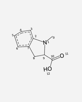 CN1c2cc[c]cc2CC1C(=O)O